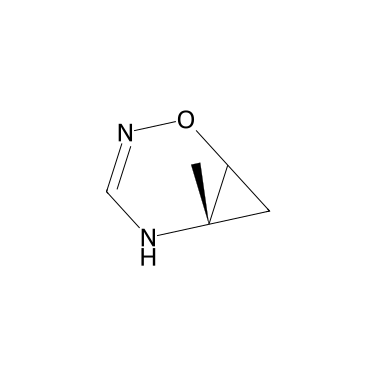 C[C@]12CC1ON=CN2